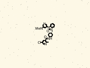 CNc1cncc(-n2c(=O)n(C[C@H]3CC[C@H](NC(=O)c4cc(Cl)cnc4C)CC3)c3ccccc32)c1